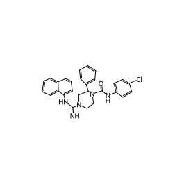 N=C(Nc1cccc2ccccc12)N1CCN(C(=O)Nc2ccc(Cl)cc2)C(c2ccccc2)C1